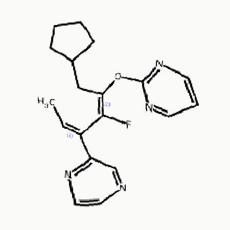 C/C=C(\C(F)=C(/CC1CCCC1)Oc1ncccn1)c1cnccn1